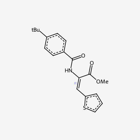 COC(=O)/C(=C\c1cccs1)NC(=O)c1ccc(C(C)(C)C)cc1